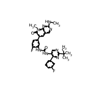 CNc1ncc2cc(-c3ccc(F)c(NC(=O)Nc4cnc(C(C)(C)C)nc4-c4cccc(F)c4)c3)c(=O)n(C)c2n1